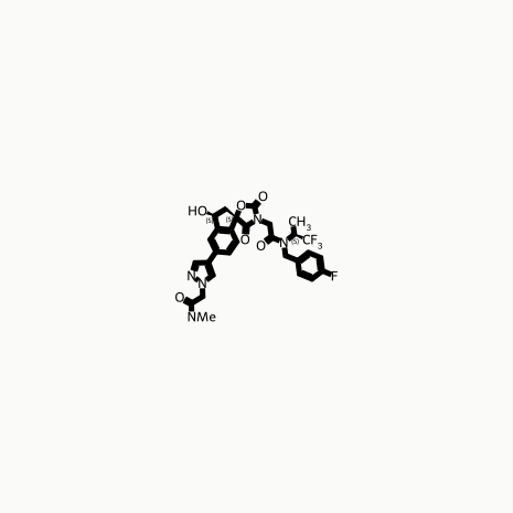 CNC(=O)Cn1cc(-c2ccc3c(c2)[C@@H](O)C[C@]32OC(=O)N(CC(=O)N(Cc3ccc(F)cc3)[C@@H](C)C(F)(F)F)C2=O)cn1